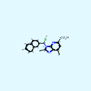 Cc1cc(C(=O)O)nc2c1nc(C)n2C(Br)c1ccc2ccccc2c1